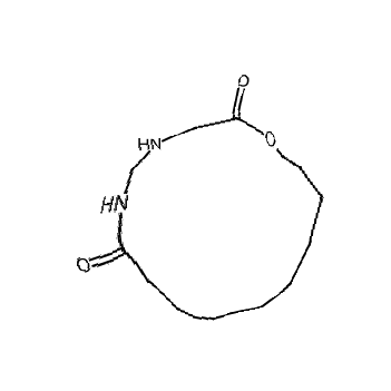 O=C1CCCCCCCCOC(=O)CNCN1